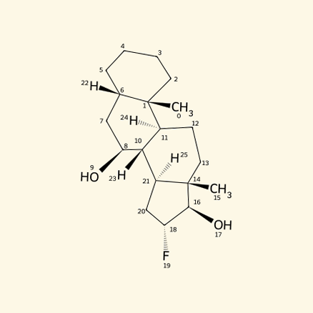 C[C@]12CCCC[C@H]1C[C@H](O)[C@@H]1[C@@H]2CC[C@]2(C)[C@@H](O)[C@H](F)C[C@@H]12